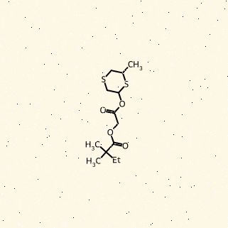 CCC(C)(C)C(=O)OCC(=O)OC1CSCC(C)S1